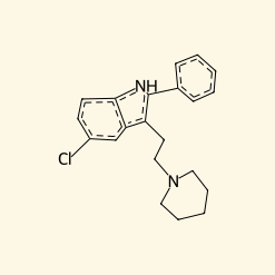 Clc1ccc2[nH]c(-c3ccccc3)c(CCN3CCCCC3)c2c1